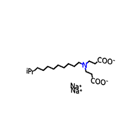 CC(C)CCCCCCCCCN(CCC(=O)[O-])CCC(=O)[O-].[Na+].[Na+]